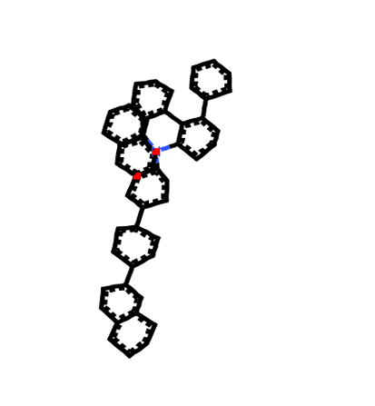 c1ccc(-c2ccccc2-c2c(-c3ccccc3)cccc2N(c2ccccc2)c2ccc(-c3ccc(-c4ccc5ccccc5c4)cc3)cc2)cc1